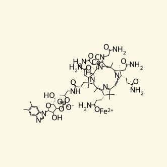 C/C1=C2N=C(/C=C3N=C(/C(C)=C4/[C@@H](CCC(N)=O)[C@](C)(CC(N)=O)[C@](C)([C@@H]5N=C1[C@](C)(CCC(=O)NCC(C)OP(=O)([O-])O[C@H]1[C@@H](O)[C@@H](n6cnc7cc(C)c(C)cc76)O[C@@H]1CO)[C@H]5CC(N)=O)[N]4[Co+][C]#N)[C@@](C)(CC(N)=O)[C@@H]\3CCC(N)=O)C(C)(C)[C@@H]/2CCC(N)=O.[Fe+2]